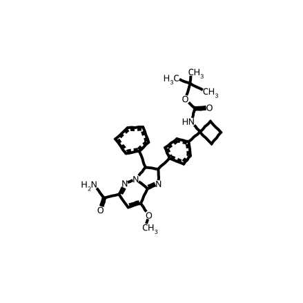 COC1=CC(C(N)=O)=NN2C1=NC(c1ccc(C3(NC(=O)OC(C)(C)C)CCC3)cc1)C2c1ccccc1